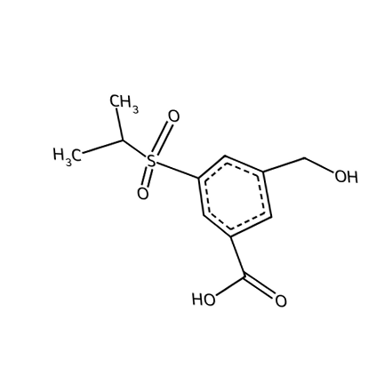 CC(C)S(=O)(=O)c1cc(CO)cc(C(=O)O)c1